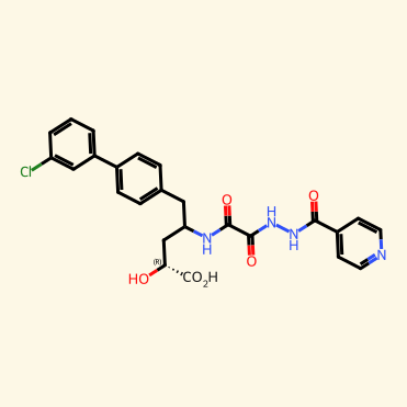 O=C(NNC(=O)c1ccncc1)C(=O)NC(Cc1ccc(-c2cccc(Cl)c2)cc1)C[C@@H](O)C(=O)O